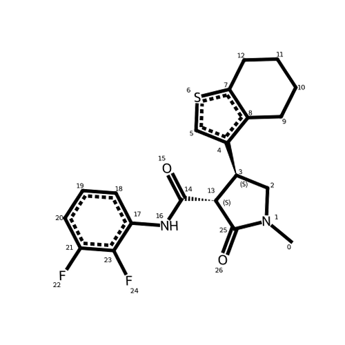 CN1C[C@H](c2csc3c2CCCC3)[C@@H](C(=O)Nc2cccc(F)c2F)C1=O